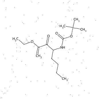 [CH2]CCCC(NC(=O)OC(C)(C)C)C(=O)C(=C)OCC